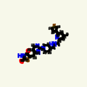 Cc1cc(CNCC2CCN(c3nccc(C=C4SC(=O)NC4=O)n3)CC2)nc(-c2ccsc2)c1